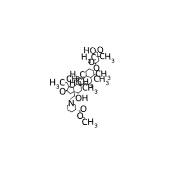 CCOC(=O)[C@@H]1CCCN(C[C@@H](O)[C@@]23CC[C@]4(C)[C@H](CCC5[C@@]6(C)CC[C@H](OC(=O)CC(C)(C)C(=O)O)C(C)(C)C6CC[C@]54C)C2=C(C(C)C)C(=O)C3)C1